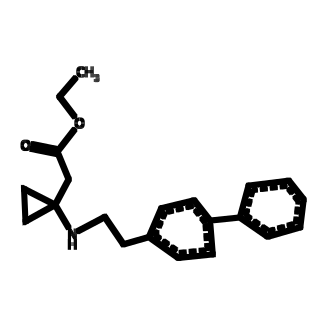 CCOC(=O)CC1(NCCc2ccc(-c3ccccc3)cc2)CC1